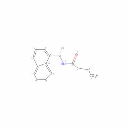 C[C@H](NC(=O)CCC(=O)O)c1cccc2ccccc12